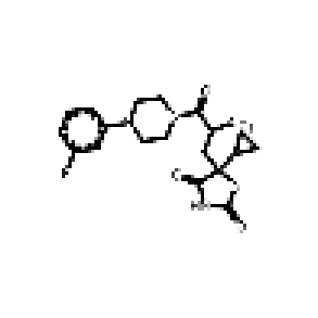 CC(CC1(C2CC2)NC(=O)NC1=O)C(=O)N1CCN(c2cccc(F)c2)CC1